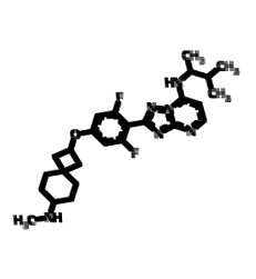 CNC1CCC2(CC1)CC(Oc1cc(F)c(-c3nc4nccc(NC(C)C(C)C)n4n3)c(F)c1)C2